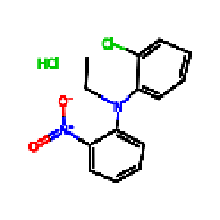 CCN(c1ccccc1Cl)c1ccccc1[N+](=O)[O-].Cl